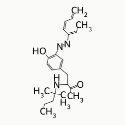 C=C/C=C\C(=C/C)N=Nc1cc(CC(NC(C)(C)CCC)C(C)=O)ccc1O